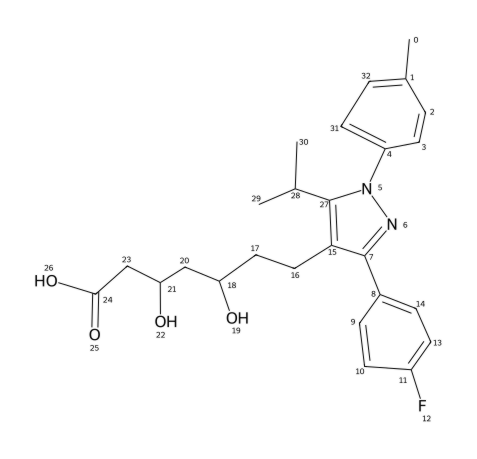 Cc1ccc(-n2nc(-c3ccc(F)cc3)c(CCC(O)CC(O)CC(=O)O)c2C(C)C)cc1